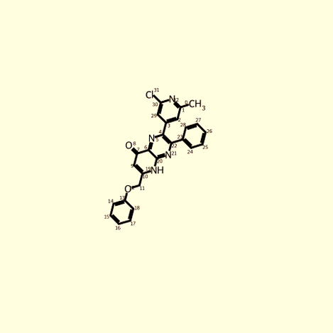 Cc1cc(-c2nc3c(=O)cc(COc4ccccc4)[nH]c3nc2-c2ccccc2)cc(Cl)n1